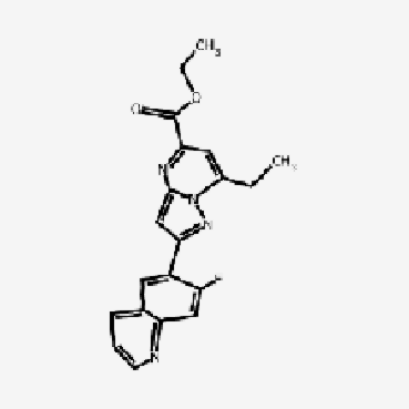 CCOC(=O)c1cc(CC)n2nc(-c3cc4cccnc4cc3F)cc2n1